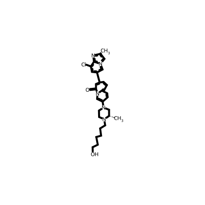 Cc1cn2cc(C3=C\C(=O)N4C=C(N5CCN(CCCCCCO)[C@@H](C)C5)C=C\C4=C/C=C/3)cc(Cl)c2n1